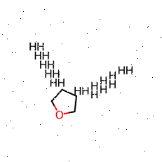 C1CCOC1.[HH].[HH].[HH].[HH].[HH].[HH].[HH].[HH].[HH].[HH]